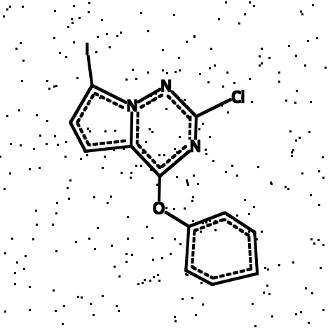 Clc1nc(Oc2ccccc2)c2ccc(I)n2n1